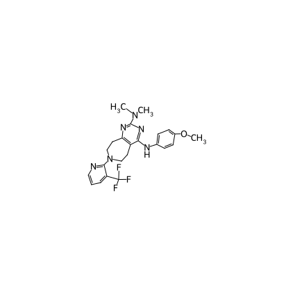 COc1ccc(Nc2nc(N(C)C)nc3c2CCN(c2ncccc2C(F)(F)F)CC3)cc1